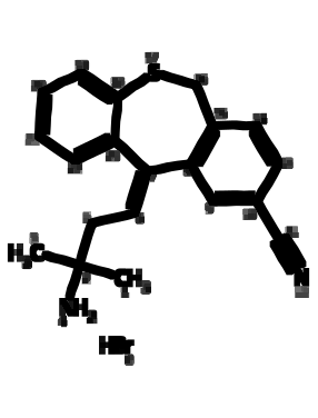 Br.CC(C)(N)CC=C1c2cc(C#N)ccc2CSc2ccccc21